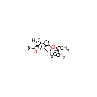 CC[Si](CC)(CC)OC1CCCC2(C)C(C(C)C=CC(=O)C3CC3)CCC12